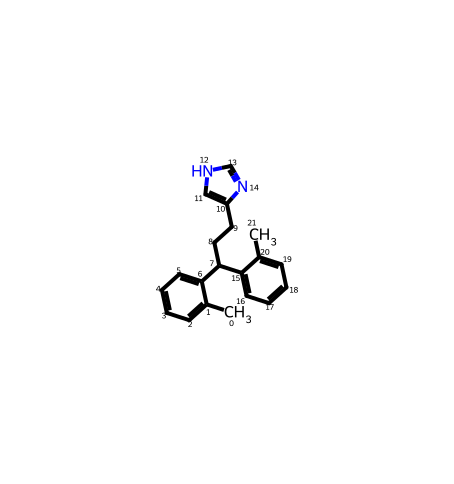 Cc1ccccc1C(CCc1c[nH]cn1)c1ccccc1C